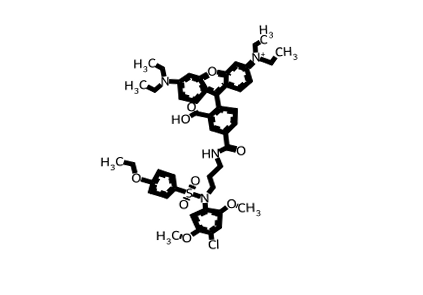 CCOc1ccc(S(=O)(=O)N(CCCNC(=O)c2ccc(-c3c4ccc(=[N+](CC)CC)cc-4oc4cc(N(CC)CC)ccc34)c(C(=O)O)c2)c2cc(OC)c(Cl)cc2OC)cc1